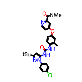 CNC(=O)c1cc(Oc2ccc(NC(=O)Nc3cc(C(C)(C)C)nn3-c3ccc(Cl)cc3)c(C)c2)ccn1